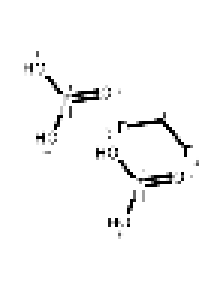 FCF.O=[PH](O)O.O=[PH](O)O